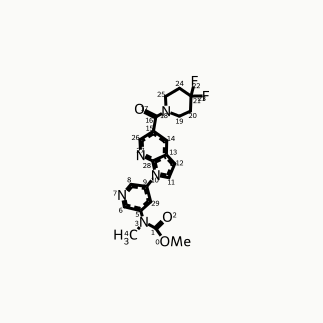 COC(=O)N(C)c1cncc(-n2ccc3cc(C(=O)N4CCC(F)(F)CC4)cnc32)c1